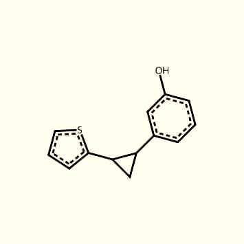 Oc1cccc(C2CC2c2cccs2)c1